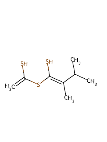 C=C(S)S/C(S)=C(\C)C(C)C